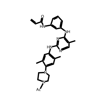 C=CC(=O)Nc1cccc(Nc2nc(Nc3cc(C)c(N4CCN(C(C)=O)CC4)cc3C)ncc2C)c1